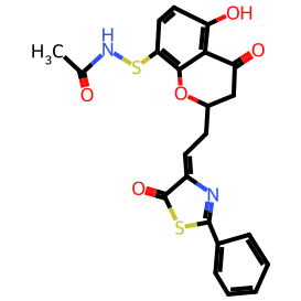 CC(=O)NSc1ccc(O)c2c1OC(CC=C1N=C(c3ccccc3)SC1=O)CC2=O